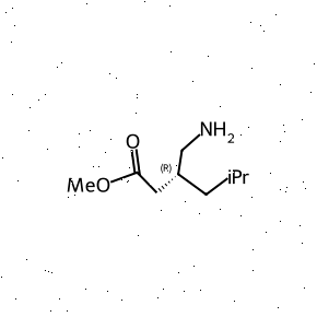 COC(=O)C[C@H](CN)CC(C)C